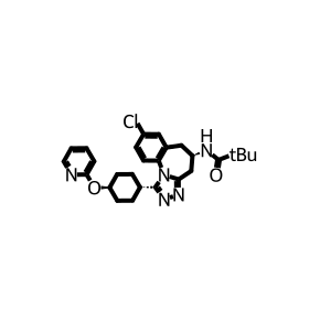 CC(C)(C)C(=O)N[C@H]1Cc2cc(Cl)ccc2-n2c(nnc2[C@H]2CC[C@H](Oc3ccccn3)CC2)C1